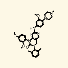 COc1ccc(N2C(=O)N(c3c(C)cccc3C)Cc3cnc(Nc4ccc(N5CCN(C)CC5)c(OC)c4)nc32)c(OC)c1